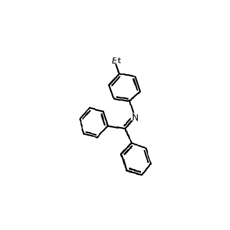 [CH2]Cc1ccc(N=C(c2ccccc2)c2ccccc2)cc1